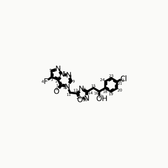 O=c1c2c(F)cnn2ncn1Cc1nc(CC(O)c2ccc(Cl)cc2)no1